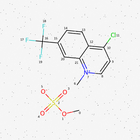 COS(=O)(=O)[O-].C[n+]1ccc(Cl)c2ccc(C(F)(F)F)cc21